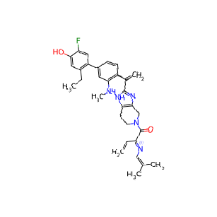 C=C/C(=N\C=C(C)C)C(=O)N1CCc2[nH]c(C(=C)c3ccc(-c4cc(F)c(O)cc4CC)cc3NC)nc2C1